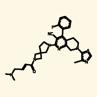 Cc1ncsc1N1CCc2c(nc(N3CCC4(CN(C(=O)/C=C/CN(C)C)C4)C3)c(C#N)c2-c2ccccc2F)C1